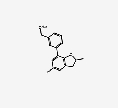 COCc1cccc(-c2cc(F)cc3c2OC(C)C3)c1